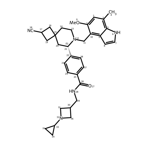 COc1cc(C)c2[nH]ccc2c1CN1CCC2(CC(C#N)C2)C[C@H]1c1ccc(C(=O)NCC2CN(C3CC3)C2)cc1